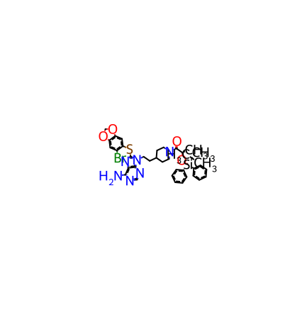 C[C@@H](O[Si](c1ccccc1)(c1ccccc1)C(C)(C)C)C(=O)N1CCC(CCn2c(Sc3cc4c(cc3Br)OCO4)nc3c(N)ncnc32)CC1